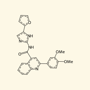 COc1ccc(-c2cc(C(=O)Nc3ncc(-c4ccco4)[nH]3)c3ccccc3n2)cc1OC